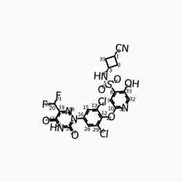 N#C[C@H]1C[C@@H](NS(=O)(=O)c2cc(Oc3c(Cl)cc(-n4nc(C(F)F)c(=O)[nH]c4=O)cc3Cl)ncc2O)C1